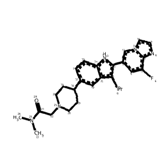 CC(C)c1c(-c2cc(F)c3nccn3c2)[nH]c2ccc(C3CCN(CC(=O)N(C)C)CC3)cc12